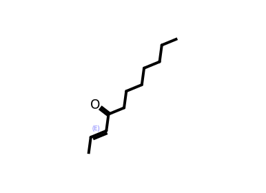 C/C=C/C(=O)CCCCCCC